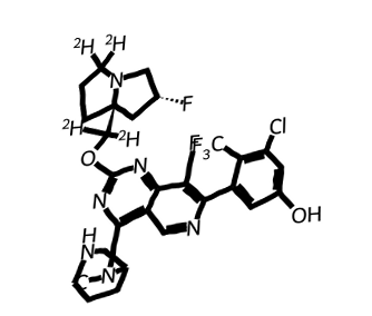 [2H]C1([2H])CC[C@@]2(C([2H])([2H])Oc3nc(N4CC5CCC4CN5)c4cnc(-c5cc(O)cc(Cl)c5C(F)(F)F)c(F)c4n3)C[C@@H](F)CN12